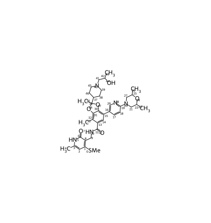 CSc1cc(C)[nH]c(=O)c1CNC(=O)c1cc(-c2ccc(N3CC(C)OC(C)C3)nc2)c2c(c1C)OC(C)(C1CCN(CC(C)O)CC1)O2